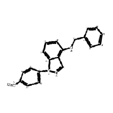 COc1ccc(-n2ncc3c(OCc4ccccc4)cccc32)cc1